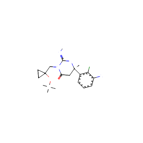 CC(C)(C)[Si](C)(C)OC1(CN2C(=O)C[C@@](C)(c3cccc(N)c3Cl)NC2=NC(=O)O)CC1